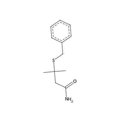 CC(C)(CC(N)=O)SCc1ccccc1